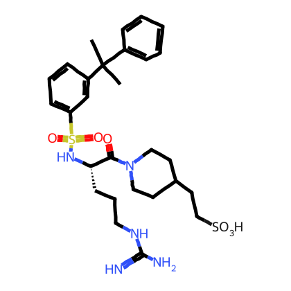 CC(C)(c1ccccc1)c1cccc(S(=O)(=O)N[C@@H](CCCNC(=N)N)C(=O)N2CCC(CCS(=O)(=O)O)CC2)c1